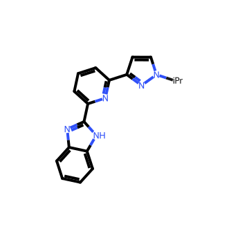 CC(C)n1ccc(-c2cccc(-c3nc4ccccc4[nH]3)n2)n1